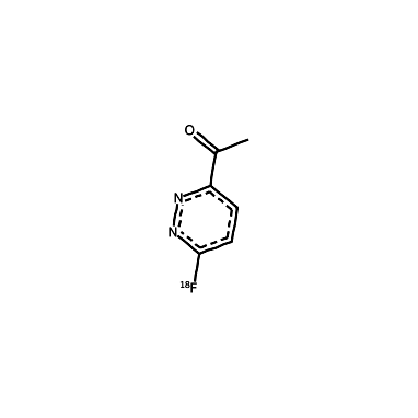 CC(=O)c1ccc([18F])nn1